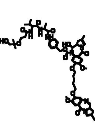 COc1cc2c(cc1OCCCCCOc1cc3c(cc1OC)C(=O)N1C=C(C)CC1C(O)N3C(=O)OCc1ccc(NC(=O)C(C)NC(=O)C(NC(=O)CCOC(C)(C)CO)C(C)C)cc1)N=CC1CC(C)=CN1C2=O